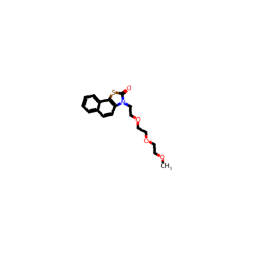 COCCOCCOCCn1c(=O)sc2c3ccccc3ccc21